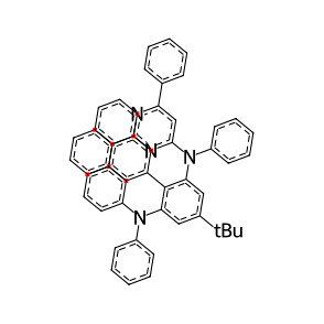 CC(C)(C)c1cc(N(c2ccccc2)c2ccccc2)c(-c2ccc3ccccc3c2)c(N(c2ccccc2)c2cc(-c3ccccc3)nc(-c3ccccc3)n2)c1